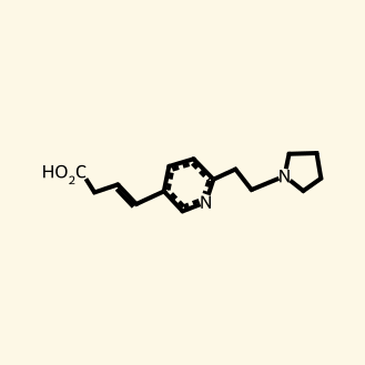 O=C(O)CC=Cc1ccc(CCN2CCCC2)nc1